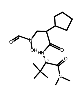 CN(C)C(=O)[C@@H](NC(=O)C(CN(O)C=O)C1CCCC1)C(C)(C)C